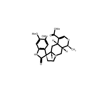 COC(=O)C1=CO[C@@H](C)[C@@H]2CN3CC[C@]4(C(=O)Nc5cc(OC)c(OC)cc54)[C@@H]3C[C@H]12